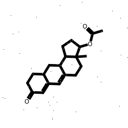 CC(=O)OC1CCC2C3CC4CCC(=O)C=C4C=C3CCC12C